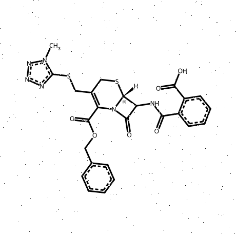 Cn1nnnc1SCC1=C(C(=O)OCc2ccccc2)N2C(=O)C(NC(=O)c3ccccc3C(=O)O)[C@H]2SC1